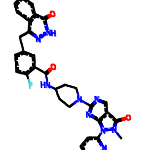 Cn1c(=O)c2cnc(N3CCC(NC(=O)c4cc(Cc5n[nH]c(=O)c6ccccc56)ccc4F)CC3)nc2n1-c1ccccn1